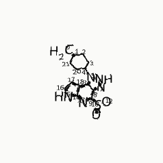 C=C1CCC(n2[nH]nc3c(=S(=O)=O)nc4[nH]ccc4c2-3)CC1